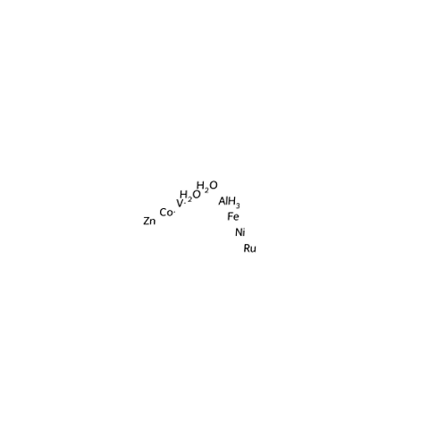 O.O.[AlH3].[Co].[Fe].[Ni].[Ru].[V].[Zn]